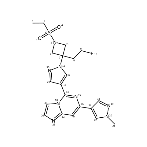 CCS(=O)(=O)N1CC(CCF)(n2cc(-c3nc(-c4cnn(C)c4)cc4nccn34)cn2)C1